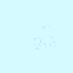 CC(C)c1cnn2c(NCc3ccccc3N3CCOCC3)nc(OC3CCN(C)CC3)nc12